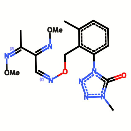 CON=C(/C=N\OCc1c(C)cccc1-n1nnn(C)c1=O)/C(C)=N\OC